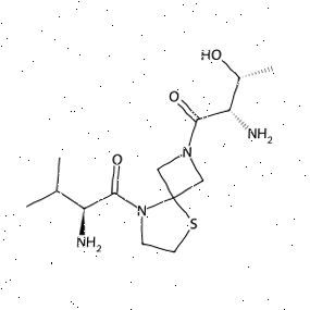 CC(C)[C@H](N)C(=O)N1CCSC12CN(C(=O)[C@@H](N)[C@@H](C)O)C2